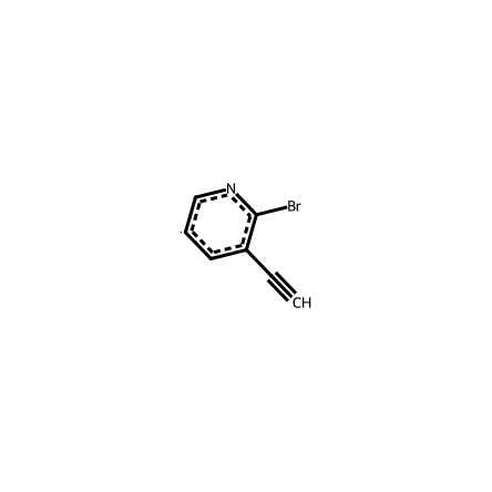 C#Cc1c[c]cnc1Br